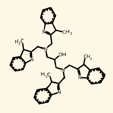 CC1C(CN(CC2=Nc3ccccc3C2C)CC(O)CN(CC2=Nc3ccccc3C2C)CC2=Nc3ccccc3C2C)=Nc2ccccc21